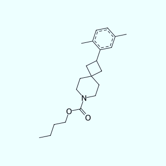 CCCCOC(=O)N1CCC2(CC1)CC(c1cc(C)ccc1C)C2